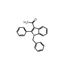 CC(=O)c1c(-c2ccccc2)n(Cc2ccccc2)c2ccccc12